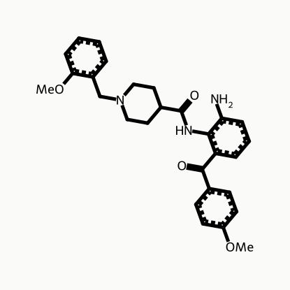 COc1ccc(C(=O)c2cccc(N)c2NC(=O)C2CCN(Cc3ccccc3OC)CC2)cc1